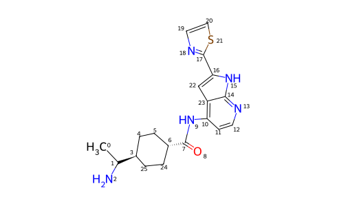 CC(N)[C@H]1CC[C@H](C(=O)Nc2ccnc3[nH]c(-c4nccs4)cc23)CC1